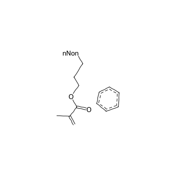 C=C(C)C(=O)OCCCCCCCCCCCC.c1ccccc1